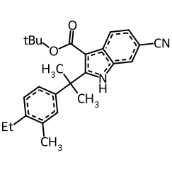 CCc1ccc(C(C)(C)c2[nH]c3cc(C#N)ccc3c2C(=O)OC(C)(C)C)cc1C